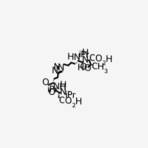 CC(C)N[C@@H](CC(=O)O)C(=O)N[C@@H](CCc1cn(CCCC[C@H](NC(C)C)C(=O)N[C@H](C(=O)O)[C@@H](C)O)nn1)C(=O)C(C)C